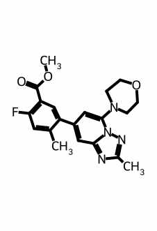 COC(=O)c1cc(-c2cc(N3CCOCC3)n3nc(C)nc3c2)c(C)cc1F